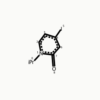 CC(C)n1ccc(I)cc1=O